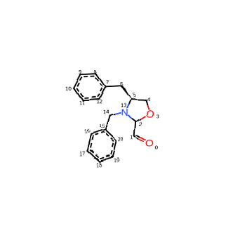 O=CC1OC[C@H](Cc2ccccc2)N1Cc1ccccc1